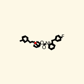 Cc1cccc(CC[N+]23CCC(CC2)C(OC(=O)Nc2ccccc2Cc2ccc(F)cc2)C3)c1